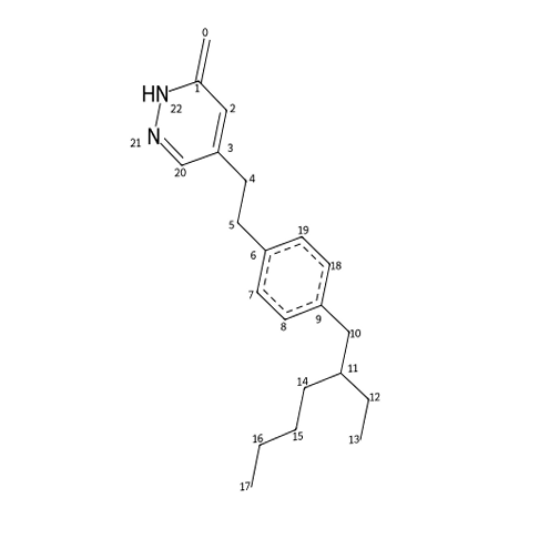 C=C1C=C(CCc2ccc(CC(CC)CCCC)cc2)C=NN1